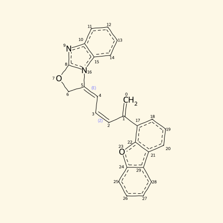 C=C(/C=C\C=C1/COc2nc3ccccc3n21)c1cccc2c1oc1ccccc12